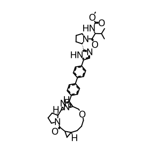 COC(=O)N[C@H](C(=O)N1CCC[C@H]1c1ncc(-c2ccc(-c3ccc(-c4nc5[nH]c4COCCC[C@@H]4CC4C(=O)N4CCC[C@@H]54)cc3)cc2)[nH]1)C(C)C